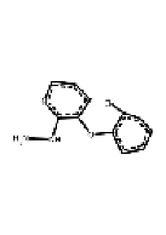 NNc1ncccc1Oc1ccccc1Cl